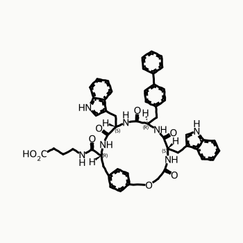 O=C(O)CCCNC(=O)[C@H]1Cc2ccc(cc2)OCC(=O)N[C@@H](Cc2c[nH]c3ccccc23)C(=O)N[C@H](Cc2ccc(-c3ccccc3)cc2)C(=O)N[C@@H](Cc2c[nH]c3ccccc23)C(=O)N1